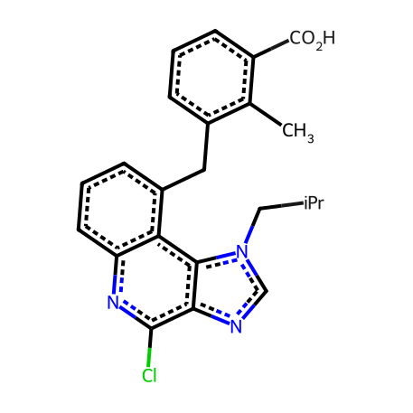 Cc1c(Cc2cccc3nc(Cl)c4ncn(CC(C)C)c4c23)cccc1C(=O)O